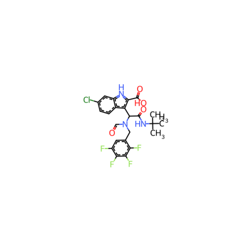 CC(C)(C)NC(=O)C(c1c(C(=O)O)[nH]c2cc(Cl)ccc12)N(C=O)Cc1cc(F)c(F)c(F)c1F